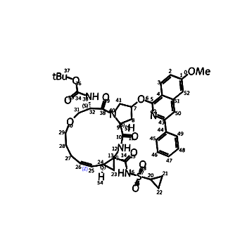 COc1ccc2c(OC3C[C@H]4C(=O)N[C@]5(C(=O)NS(=O)(=O)C6CC6)C[C@H]5/C=C\CCCOC[C@H](NC(=O)OC(C)(C)C)C(=O)N4C3)nc(-c3ccccc3)cc2c1